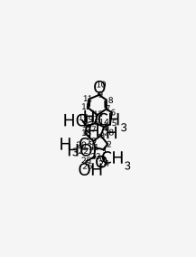 C[C@@H]1C[C@H]2[C@@H]3CCC4=CC(=O)C=C[C@]4(C)[C@H]3C(O)C[C@]2(C)[C@@]1(O)C(=O)CO